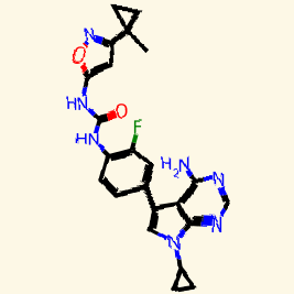 CC1(c2cc(NC(=O)Nc3ccc(-c4cn(C5CC5)c5ncnc(N)c45)cc3F)on2)CC1